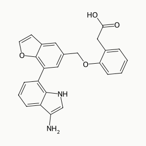 Nc1c[nH]c2c(-c3cc(COc4ccccc4CC(=O)O)cc4ccoc34)cccc12